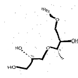 CCCCCCOCC(O)[C@H](C)OC[C@@H](O)CO